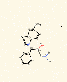 COc1ccc2c(ccn2[C@@H](c2ccccc2)[C@H](O)CN(C)C)c1